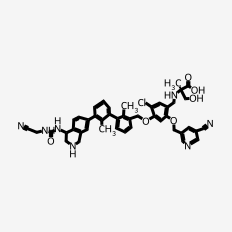 Cc1c(COc2cc(OCc3cncc(C#N)c3)c(CN[C@@](C)(CO)C(=O)O)cc2Cl)cccc1-c1cccc(-c2ccc3c(c2)CNCC3NC(=O)NCC#N)c1C